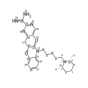 C[C@@H]1CCC[C@H](C)N1CCCCCN1C(=O)C(Cc2ccnc(C(=N)N)n2)Oc2ccccc21